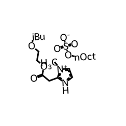 CCC(C)OCCOC(=O)Cc1[nH]cc[n+]1C.CCCCCCCCOS(=O)(=O)[O-]